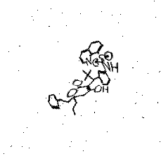 CCCC1(CCc2ccccc2)CC(O)=C(C(c2cccc(NS(=O)(=O)c3cccc4cccnc34)c2)C(C)(C)C)C(=O)O1